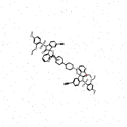 CCOc1cc(OC)ccc1S(=O)(=O)N1C(=O)C(OC(=O)N2CCC(C3CCN(C(=O)OC4(c5cccnc5OCC)C(=O)N(S(=O)(=O)c5ccc(OC)cc5OCC)c5ccc(C#N)cc54)CC3)CC2)(c2cccnc2OCC)c2cc(C#N)ccc21